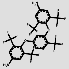 Nc1cc(C(F)(F)F)c(Oc2ccc(C(F)(F)F)c(Oc3c(C(F)(F)F)cc(N)cc3C(F)(F)F)c2)c(C(F)(F)F)c1